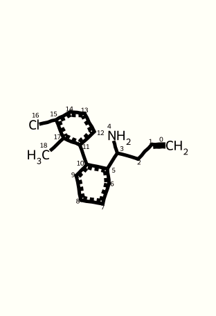 C=CCC(N)c1ccccc1-c1cccc(Cl)c1C